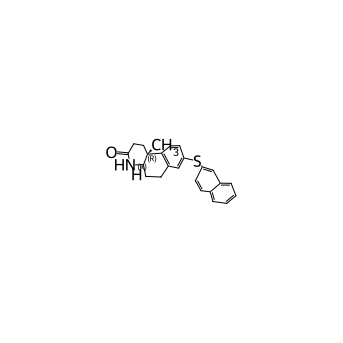 C[C@]12CCC(=O)N[C@@H]1CCc1cc(Sc3ccc4ccccc4c3)ccc12